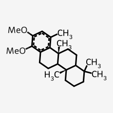 COc1cc(C)c2c(c1OC)CCC1[C@@]3(C)CCCC(C)(C)C3CC[C@@]21C